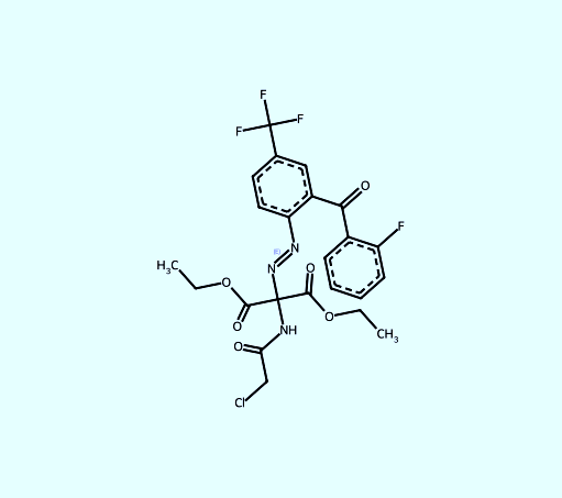 CCOC(=O)C(/N=N/c1ccc(C(F)(F)F)cc1C(=O)c1ccccc1F)(NC(=O)CCl)C(=O)OCC